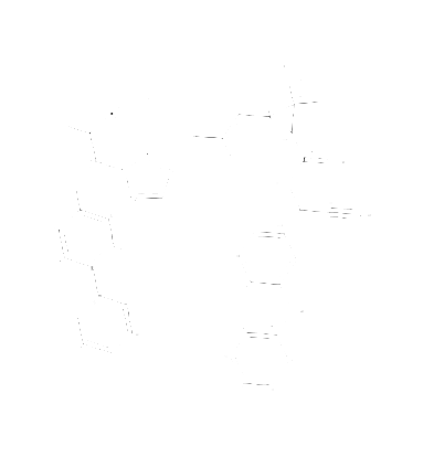 CC(C)(C)C(O)C(Oc1ccc(-c2ccccc2)cc1)n1cncn1.CC1(C)C(C=C(Cl)Cl)C1C(=O)OC(C#N)c1cccc(Oc2ccccc2)c1